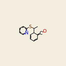 CC(Sc1ccccn1)C1C=CC=CC1=C=O